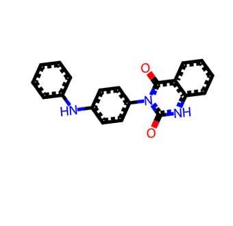 O=c1[nH]c2ccccc2c(=O)n1-c1ccc(Nc2ccccc2)cc1